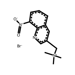 C[N+](C)(C)Cc1cnc2c([N+](=O)[O-])cccc2c1.[Br-]